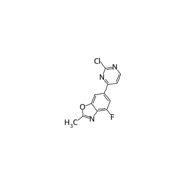 Cc1nc2c(F)cc(-c3ccnc(Cl)n3)cc2o1